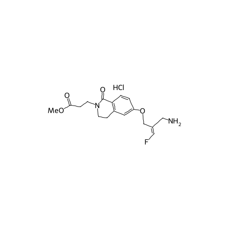 COC(=O)CCN1CCc2cc(OC/C(=C\F)CN)ccc2C1=O.Cl